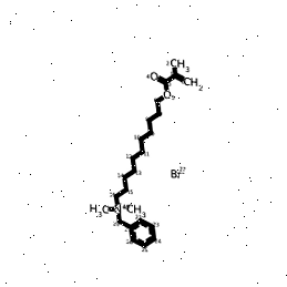 C=C(C)C(=O)OCCCCCCCCCCC[N+](C)(C)Cc1ccccc1.[Br-]